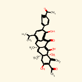 C=C1C(C(C)=O)=C(O)C[C@@]2(C)C[C@@]3(C)Cc4c(C(C)C)cc(-c5ccc(C(C)=O)cc5)c(O)c4C(=O)C3=C(O)[C@@]12O